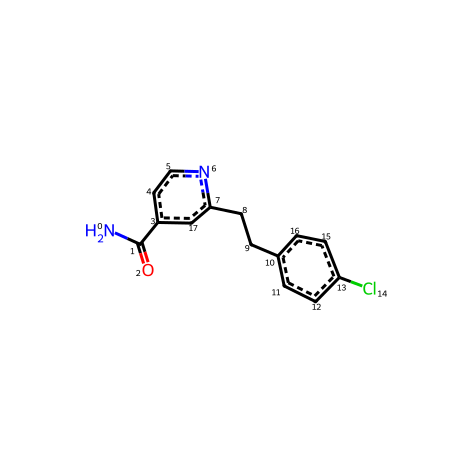 NC(=O)c1ccnc(CCc2ccc(Cl)cc2)c1